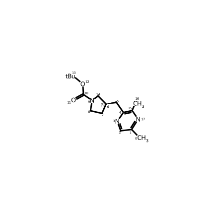 Cc1cnc(C[C@H]2CCN(C(=O)OC(C)(C)C)C2)c(C)n1